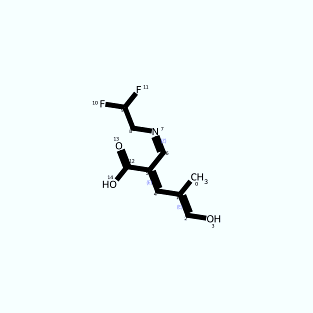 CC(=C\O)/C=C(\C=N/CC(F)F)C(=O)O